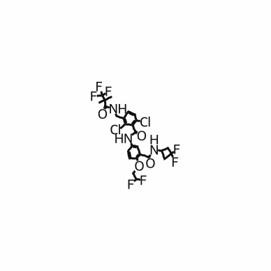 CC(C)(C(=O)NCc1ccc(Cl)c(C(=O)Nc2ccc(OCC(F)F)c(C(=O)NC3CC(F)(F)C3)c2)c1Cl)C(F)(F)F